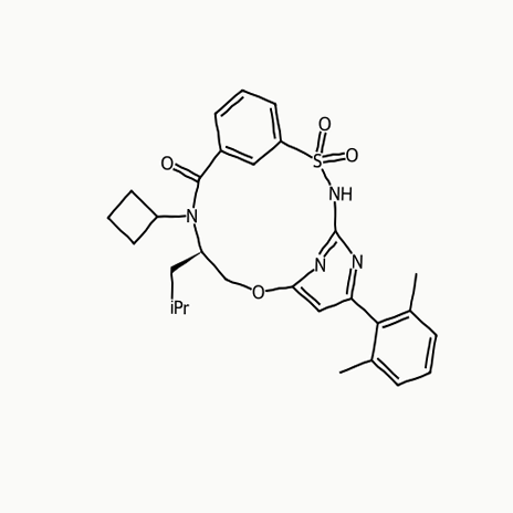 Cc1cccc(C)c1-c1cc2nc(n1)NS(=O)(=O)c1cccc(c1)C(=O)N(C1CCC1)[C@H](CC(C)C)CO2